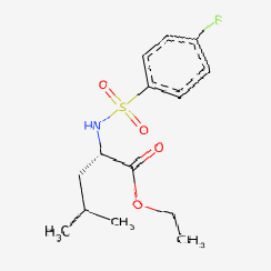 CCOC(=O)[C@H](CC(C)C)NS(=O)(=O)c1ccc(F)cc1